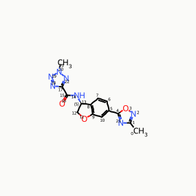 Cc1noc(-c2ccc3c(c2)OC[C@H]3NC(=O)c2nnn(C)n2)n1